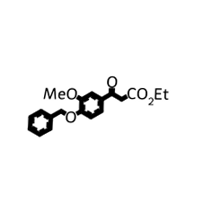 CCOC(=O)CC(=O)c1ccc(OCc2ccccc2)c(OC)c1